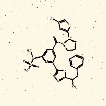 C[C](Cc1ccccc1)c1nnc(-c2cc(C(=O)N3CCC[C@@H]3c3nc(C)cs3)cc(N(C)S(C)(=O)=O)n2)o1